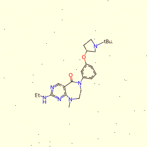 CCNc1ncc2c(n1)N(C)CCN(c1cccc(OC3CCN(C(C)(C)C)C3)c1)C2=O